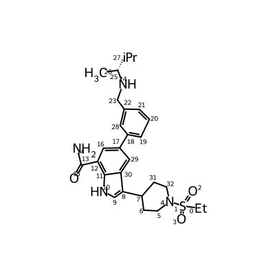 CCS(=O)(=O)N1CCC(c2c[nH]c3c(C(N)=O)cc(-c4cccc(CN[C@H](C)C(C)C)c4)cc23)CC1